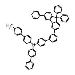 CC1C=CC(C2=CCC(N(c3ccc(-c4ccccc4)cc3)c3ccc(-c4cccc(-c5ccc6c(c5)-c5cc(C7=CCCC=C7)ccc5C6(c5ccccc5)c5ccccc5)c4)cc3)C=C2)=CC1